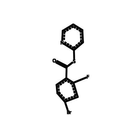 O=C(Sc1ccccn1)c1ccc(Br)cc1F